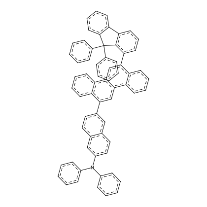 c1ccc(N(c2ccccc2)c2ccc3cc(-c4cc5c6ccccc6c(-c6cccc7c6C(c6ccccc6)(c6ccccc6)c6ccccc6-7)cc5c5ccccc45)ccc3c2)cc1